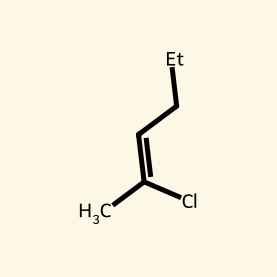 [CH2]CCC=C(C)Cl